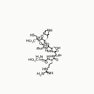 CC[C@H](C)[C@H](NC(=O)[C@H](CO)NC(=O)[C@@H](NC(=O)[C@H](CCCNC(=N)N)NC(=O)[C@@H](N)CC(=O)O)C(C)C)C(=O)N[C@@H](Cc1c[nH]cn1)C(=O)N[C@@H](CS)C(=O)O